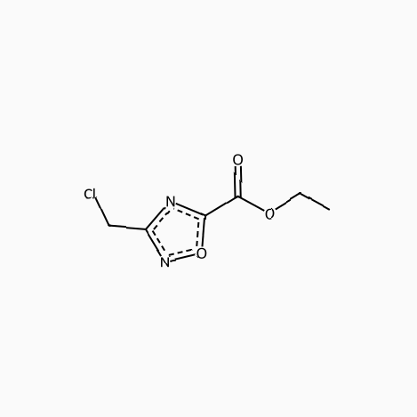 CCOC(=O)c1nc(CCl)no1